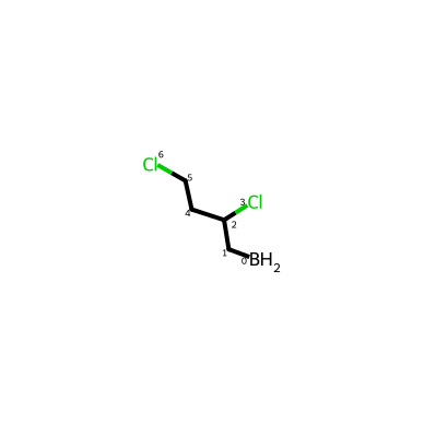 BCC(Cl)CCCl